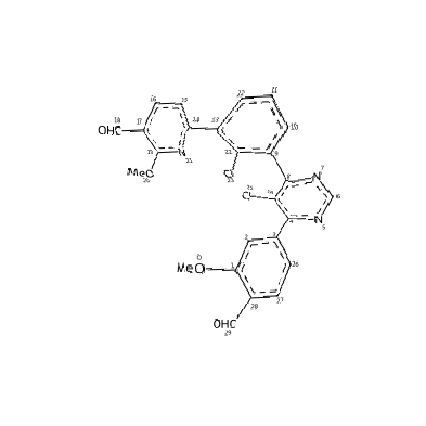 COc1cc(-c2ncnc(-c3cccc(-c4ccc(C=O)c(OC)n4)c3Cl)c2Cl)ccc1C=O